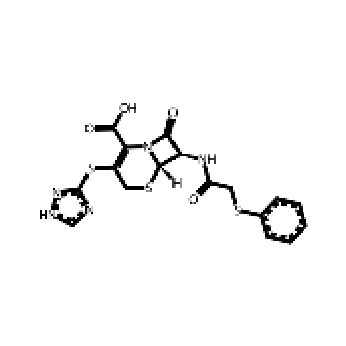 O=C(CSc1ccccc1)N[C@@H]1C(=O)N2C(C(=O)O)=C(Sc3nc[nH]n3)CS[C@@H]12